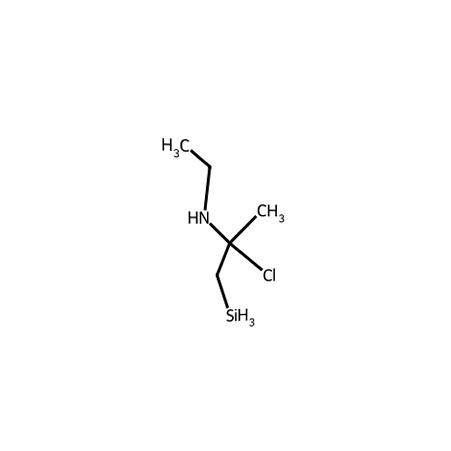 CCNC(C)(Cl)C[SiH3]